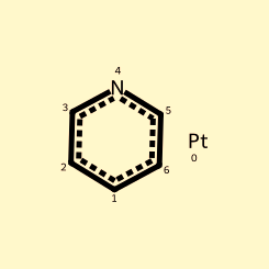 [Pt].c1ccncc1